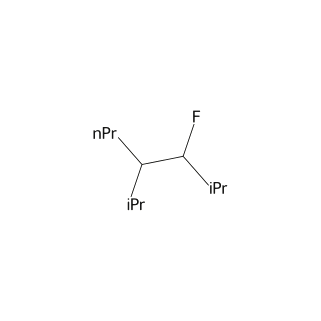 CCCC(C(C)C)C(F)C(C)C